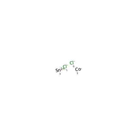 [Cl-].[Cl-].[Co].[Sn+2]